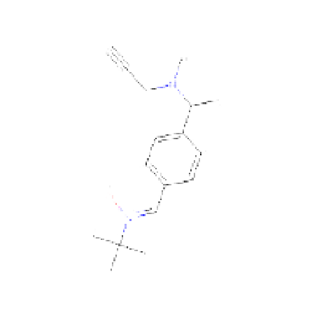 C#CCN(C)C(C)c1ccc(/C=[N+](\[O-])C(C)(C)C)cc1